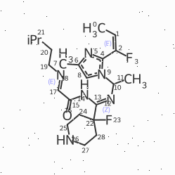 C/C=C(/F)c1nc(C)cn1C(C)/N=C(\NC(=O)/C=N/CCC(C)C)C1(F)CCNCC1